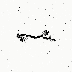 CCOC(=O)CCC[C@@H](C#C/C=C/C=C/[C@H](CC#C[Si](C)(C)C)O[Si](C)(C)C(C)(C)C)O[Si](C)(C)C(C)(C)C